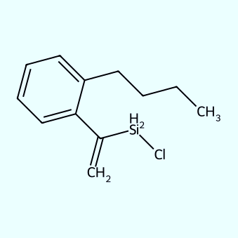 C=C([SiH2]Cl)c1ccccc1CCCC